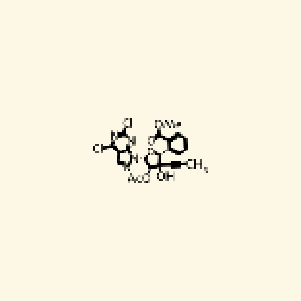 CC#C[C@@]1(O)[C@@H](c2ccccc2C(=O)OC)O[C@@H](n2ncc3c(Cl)nc(Cl)nc32)[C@@H]1OC(C)=O